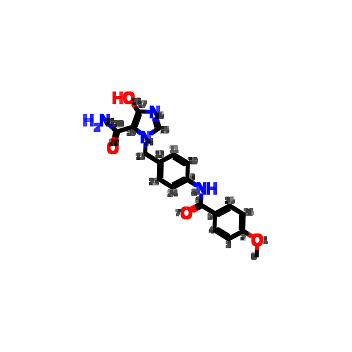 COc1ccc(C(=O)Nc2ccc(Cn3cnc(O)c3C(N)=O)cc2)cc1